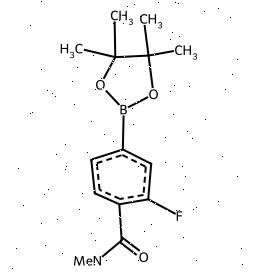 CNC(=O)c1ccc(B2OC(C)(C)C(C)(C)O2)cc1F